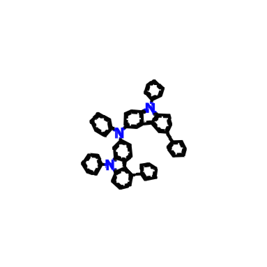 c1ccc(-c2ccc3c(c2)c2cc(N(c4ccccc4)c4ccc5c6c(-c7ccccc7)cccc6n(-c6ccccc6)c5c4)ccc2n3-c2ccccc2)cc1